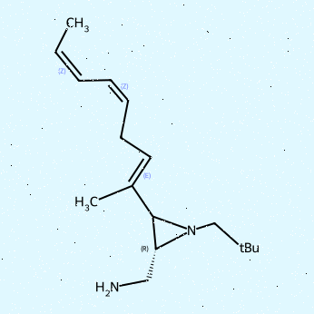 C/C=C\C=C/C/C=C(\C)C1[C@@H](CN)N1CC(C)(C)C